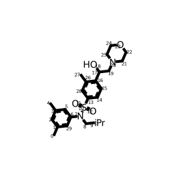 Cc1cc(C)cc(N(CC(C)C)S(=O)(=O)c2ccc(C(O)CN3CCOCC3)c(C)c2)c1